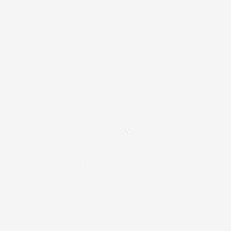 O=C(O)CCc1cccc2c1ccn2Cc1cc(Cl)ccc1OCc1ccc(Cl)cc1F